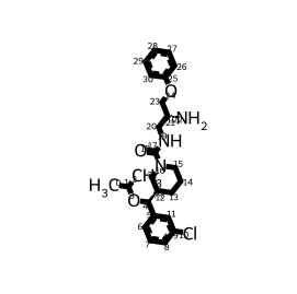 CC(C)OC(c1cccc(Cl)c1)[C@@H]1CCCN(C(=O)NC[C@@H](N)COc2ccccc2)C1